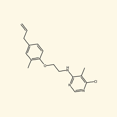 C=CCc1ccc(OCCNc2ncnc(Cl)c2C)c(C)c1